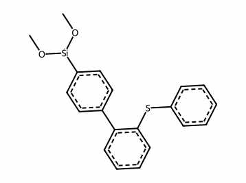 CO[Si](OC)c1ccc(-c2ccccc2Sc2ccccc2)cc1